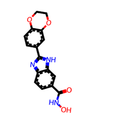 O=C(NO)c1ccc2nc(-c3ccc4c(c3)OCCO4)[nH]c2c1